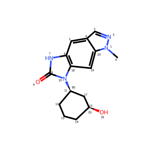 Cn1ncc2cc3[nH]c(=O)n([C@@H]4CCC[C@H](O)C4)c3cc21